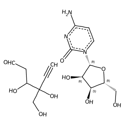 C#CC(O)(CO)C(O)CC=O.Nc1ccn([C@@H]2O[C@H](CO)[C@@H](O)[C@H]2O)c(=O)n1